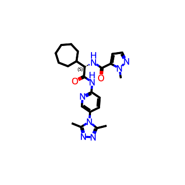 Cc1nnc(C)n1-c1ccc(NC(=O)[C@@H](NC(=O)c2ccnn2C)C2CCCCCC2)nc1